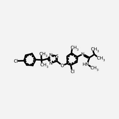 CNC(=Nc1cc(Cl)c(Oc2nc(C(C)(C)c3ccc(Cl)cc3)ns2)cc1C)C(C)C